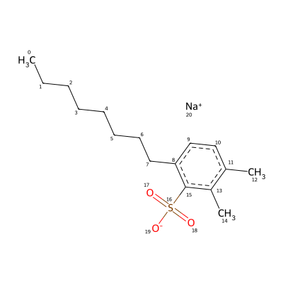 CCCCCCCCc1ccc(C)c(C)c1S(=O)(=O)[O-].[Na+]